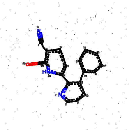 N#Cc1ccc(-c2ncccc2-c2ccccc2)[nH]c1=O